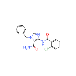 NC(=O)c1c(NC(=O)c2ccccc2Cl)ncn1Cc1ccccc1